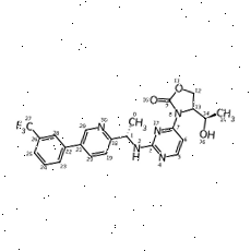 C[C@H](Nc1nccc(N2C(=O)OCC2[C@@H](C)O)n1)c1ccc(-c2cccc(C(F)(F)F)c2)cn1